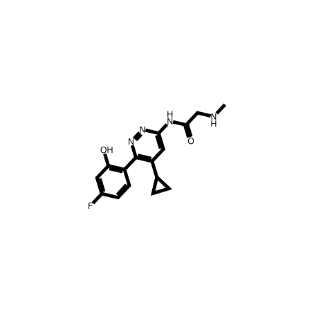 CNCC(=O)Nc1cc(C2CC2)c(-c2ccc(F)cc2O)nn1